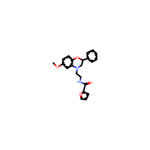 COc1ccc2c(c1)N(CCNC(=O)c1ccco1)CC(c1ccccc1)O2